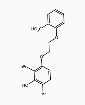 CCCc1c(OCCOc2ccccc2C(=O)O)ccc(C(C)=O)c1O